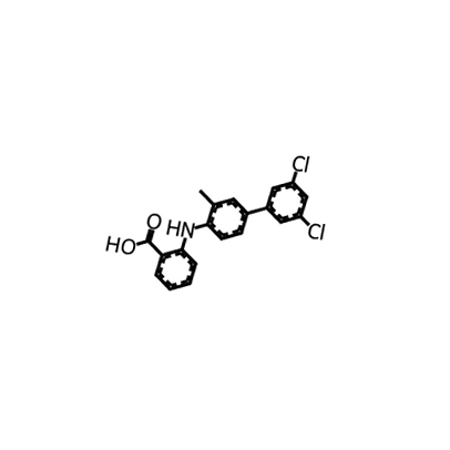 Cc1cc(-c2cc(Cl)cc(Cl)c2)ccc1Nc1ccccc1C(=O)O